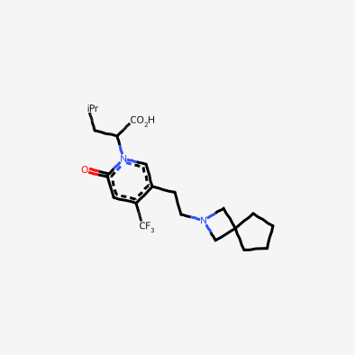 CC(C)CC(C(=O)O)n1cc(CCN2CC3(CCCC3)C2)c(C(F)(F)F)cc1=O